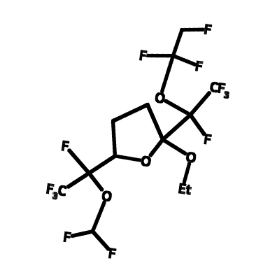 CCOC1(C(F)(OC(F)(F)CF)C(F)(F)F)CCC(C(F)(OC(F)F)C(F)(F)F)O1